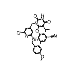 COc1ccc(CNc2cc(Cn3c(Oc4cc(C)cc(C#N)c4)c(C(C)C)c(=O)[nH]c3=O)cc(Cl)n2)cc1